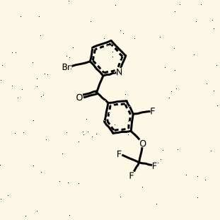 O=C(c1ccc(OC(F)(F)F)c(F)c1)c1ncccc1Br